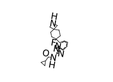 O=C(Nc1nc2cccc(C3(F)CCC4(CC3)CNC4)n2n1)C1CC1